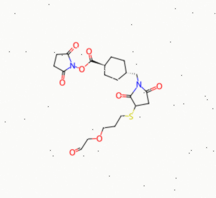 O=CCOCCCSC1CC(=O)N(C[C@H]2CC[C@H](C(=O)ON3C(=O)CCC3=O)CC2)C1=O